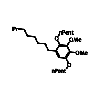 CCCCCOc1cc(CCCCCCC(C)C)c(OCCCCC)c(OC)c1OC